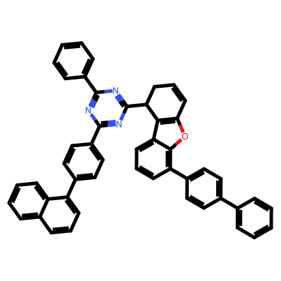 C1=Cc2oc3c(-c4ccc(-c5ccccc5)cc4)cccc3c2C(c2nc(-c3ccccc3)nc(-c3ccc(-c4cccc5ccccc45)cc3)n2)C1